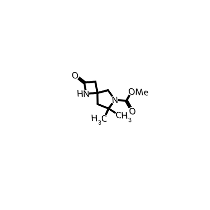 COC(=O)N1CC2(CC(=O)N2)CC1(C)C